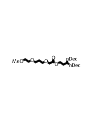 CCCCCCCCCCC(CCCCCCCCCC)CCOC(=O)COCCCOCCOC